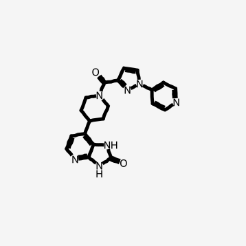 O=C(c1ccn(-c2ccncc2)n1)N1CCC(c2ccnc3[nH]c(=O)[nH]c23)CC1